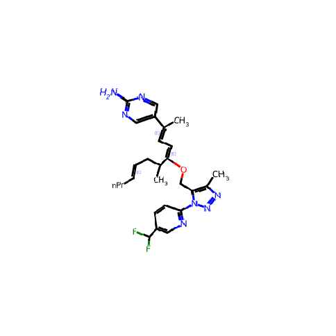 CCC/C=C/CC(C)/C(=C\C=C(/C)c1cnc(N)nc1)OCc1c(C)nnn1-c1ccc(C(F)F)cn1